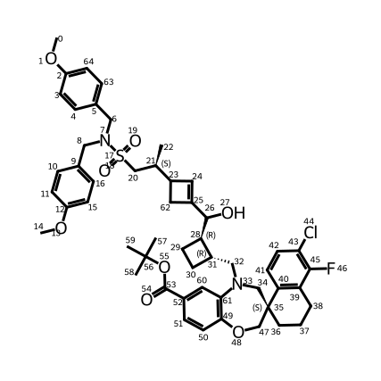 COc1ccc(CN(Cc2ccc(OC)cc2)S(=O)(=O)C[C@@H](C)C2C=C(C(O)[C@@H]3CC[C@H]3CN3C[C@@]4(CCCc5c4ccc(Cl)c5F)COc4ccc(C(=O)OC(C)(C)C)cc43)C2)cc1